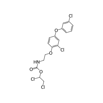 O=C(NCCOc1ccc(Oc2cccc(Cl)c2)cc1Cl)OC(Cl)CCl